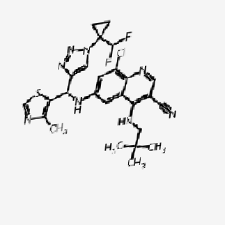 Cc1ncsc1[C@H](Nc1cc(Cl)c2ncc(C#N)c(NCC(C)(C)C)c2c1)c1cn(C2(C(F)F)CC2)nn1